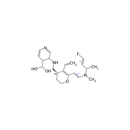 C=CC1=C(/C=C/N(C)C(C)/C=C/F)OCC[C@H]1CNC1C=NC=CC1C(O)O